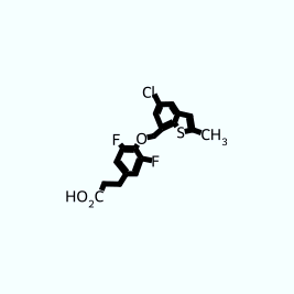 Cc1cc2cc(Cl)cc(COc3c(F)cc(CCC(=O)O)cc3F)c2s1